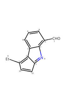 CCC1=C2C(=Nc3c(C=O)cccc32)C=C1